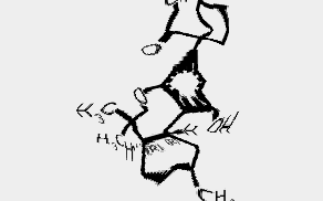 CC1=CC[C@@H]2[C@@H](C1)c1c(O)cc(C3(C(=O)O)CCC3)cc1OC2(C)C